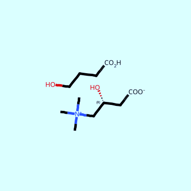 C[N+](C)(C)C[C@H](O)CC(=O)[O-].O=C(O)CCCO